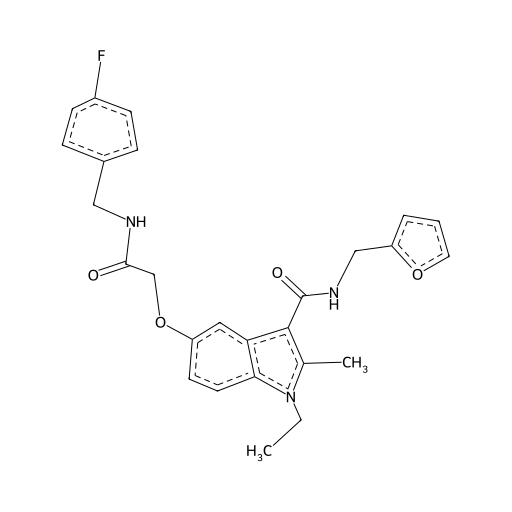 CCn1c(C)c(C(=O)NCc2ccco2)c2cc(OCC(=O)NCc3ccc(F)cc3)ccc21